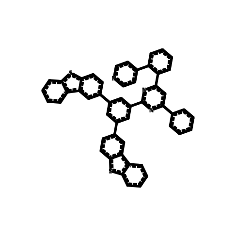 c1ccc(-c2cc(-c3ccccc3-c3ccncc3)nc(-c3cc(-c4ccc5sc6ccccc6c5c4)cc(-c4ccc5sc6ccccc6c5c4)c3)n2)cc1